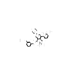 Cc1cccc(-c2c(=O)n(N3CCOCC3)cc3c(N[C@H](C)c4cccc(C(F)(F)F)c4F)nn(C)c(=O)c23)n1